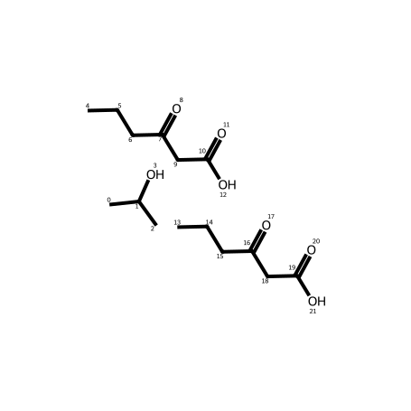 CC(C)O.CCCC(=O)CC(=O)O.CCCC(=O)CC(=O)O